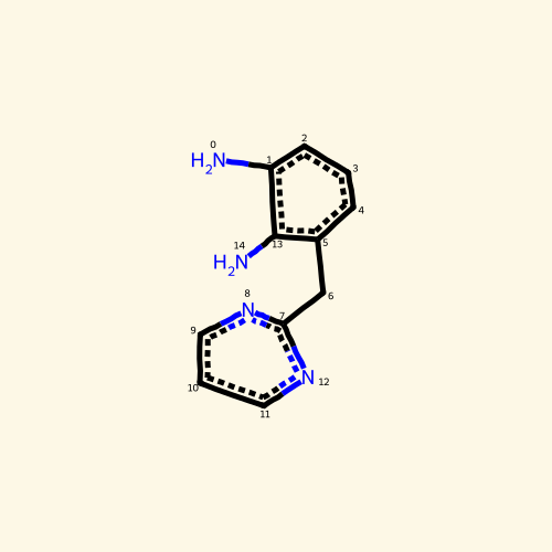 Nc1cccc(Cc2ncccn2)c1N